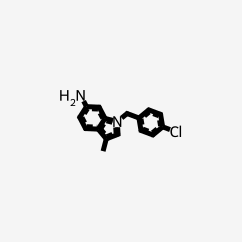 Cc1cn(Cc2ccc(Cl)cc2)c2cc(N)ccc12